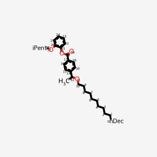 CCCCCCCCCCCCCCCCCCCCOC(C)c1ccc(C(=O)Oc2ccccc2OC(C)CCC)cc1